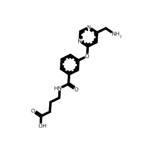 NCc1cc(Oc2cccc(C(=O)NCCCC(=O)O)c2)ncn1